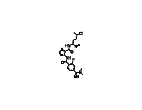 C=N/C(=C\C=C(/C)Cl)NC(=O)c1sccc1NC(=O)c1ccc(C(=N)N(C)C)cc1F